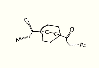 COC(=O)C12CCC(C(=O)CC(C)=O)(CC1)CC2